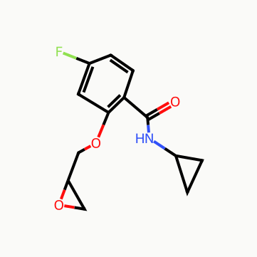 O=C(NC1CC1)c1ccc(F)cc1OCC1CO1